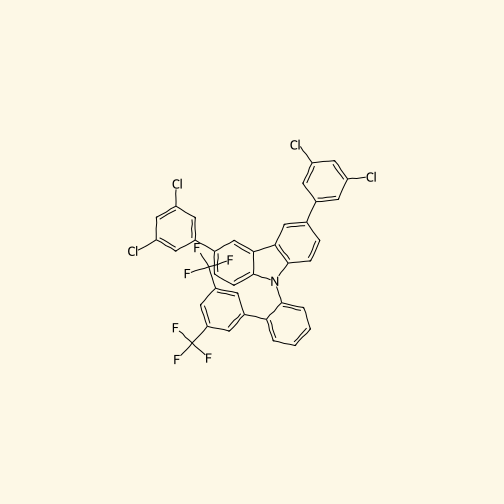 FC(F)(F)c1cc(-c2ccccc2-n2c3ccc(-c4cc(Cl)cc(Cl)c4)cc3c3cc(-c4cc(Cl)cc(Cl)c4)ccc32)cc(C(F)(F)F)c1